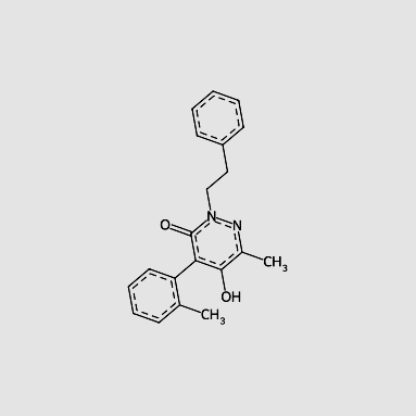 Cc1ccccc1-c1c(O)c(C)nn(CCc2ccccc2)c1=O